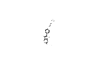 CCn1c(-c2ccc(OCCNS(C)(=O)=O)cc2)c(N)c2ccc(OC)cc21